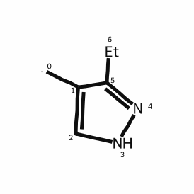 [CH2]c1c[nH]nc1CC